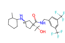 CC1CCCCC1N[C@@H]1CC[C@@](C(=O)NCc2cc(C(F)(F)F)cc(C(F)(F)F)c2)(C(C)(C)O)C1